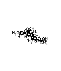 CNC1CCN(C(=O)N[C@@]23CC[C@]4(C)C(CCC5C6(C)CC[C@H](OC(=O)CC(C)(C)C(=O)O)C(C)(C)C6CC[C@]54C)C2=C(C(C)C)C(=O)C3)CC1